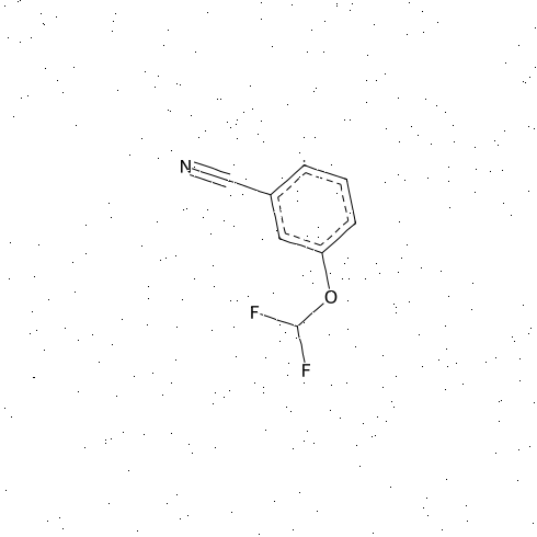 N#Cc1[c]ccc(OC(F)F)c1